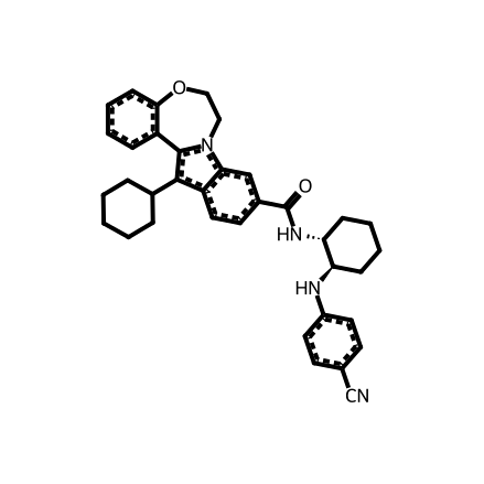 N#Cc1ccc(N[C@@H]2CCCC[C@H]2NC(=O)c2ccc3c(C4CCCCC4)c4n(c3c2)CCOc2ccccc2-4)cc1